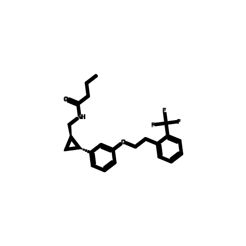 CCCC(=O)NC[C@@H]1C[C@H]1c1cccc(OCCc2ccccc2C(F)(F)F)c1